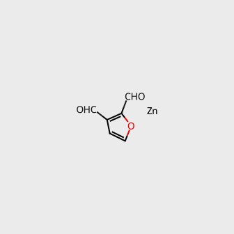 O=Cc1ccoc1C=O.[Zn]